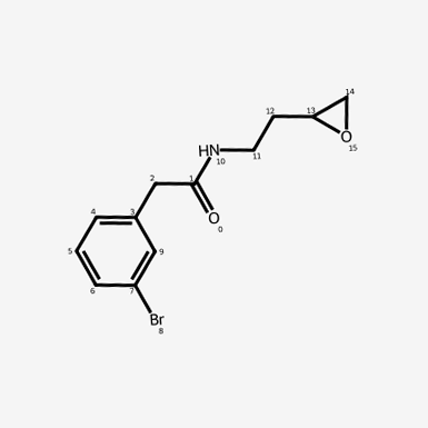 O=C(Cc1cccc(Br)c1)NCCC1CO1